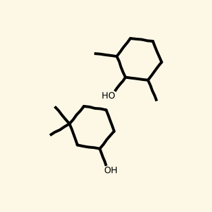 CC1(C)CCCC(O)C1.CC1CCCC(C)C1O